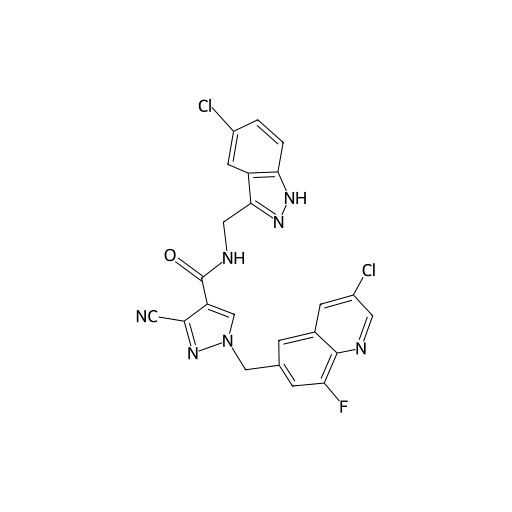 N#Cc1nn(Cc2cc(F)c3ncc(Cl)cc3c2)cc1C(=O)NCc1n[nH]c2ccc(Cl)cc12